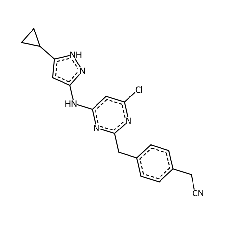 N#CCc1ccc(Cc2nc(Cl)cc(Nc3cc(C4CC4)[nH]n3)n2)cc1